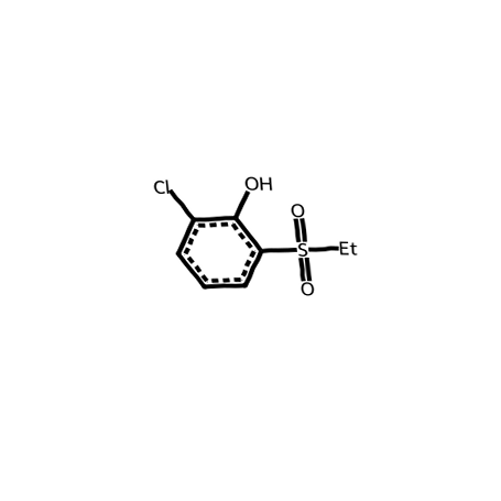 CCS(=O)(=O)c1cccc(Cl)c1O